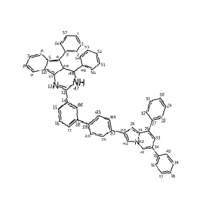 c1ccc(C2=c3ccccc3=C3N=C(c4cccc(-c5ccc(-c6cc7c(-c8ccccc8)cc(-c8ccccc8)cn7c6)cc5)c4)NC(c4ccccc4)C32)cc1